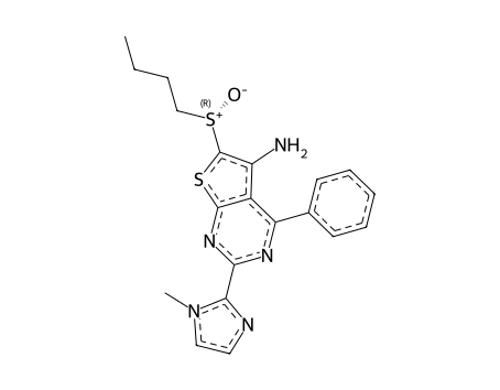 CCCC[S@+]([O-])c1sc2nc(-c3nccn3C)nc(-c3ccccc3)c2c1N